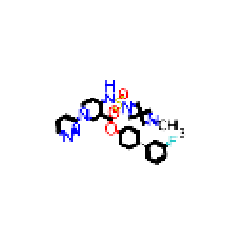 CN1CC2(C1)CN(S(=O)(=O)NC1CCN(c3cccnn3)CC1CO[C@H]1CC[C@@H](c3cccc(F)c3)CC1)C2